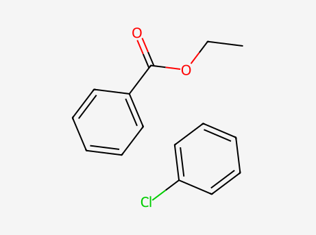 CCOC(=O)c1ccccc1.Clc1ccccc1